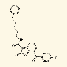 O=C(c1ccc(F)cc1)c1cccc2c1oc(=O)n2C(=O)NCCCCCc1ccccc1